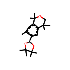 Cc1cc2c(cc1B1OC(C)(C)C(C)(C)O1)C(C)(C)COC2(C)C